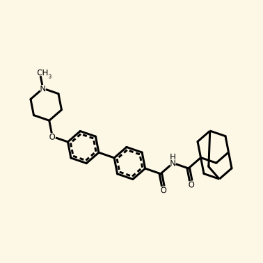 CN1CCC(Oc2ccc(-c3ccc(C(=O)NC(=O)C45CC6CC(CC(C6)C4)C5)cc3)cc2)CC1